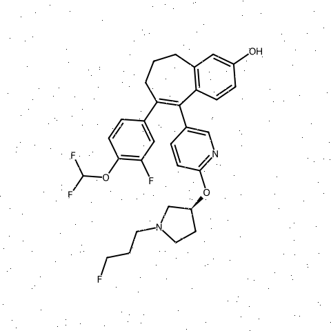 Oc1ccc2c(c1)CCCC(c1ccc(OC(F)F)c(F)c1)=C2c1ccc(O[C@H]2CCN(CCCF)C2)nc1